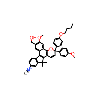 [C-]#[N+]c1ccc2c(c1)C(C)(C)c1c3c(c4cc(OC)c(CO)cc4c1-2)OC(c1ccc(OC)cc1)(c1ccc(OCCCC)cc1)C=C3